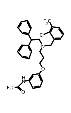 O=C(Nc1cccc(OCCCN(Cc2cccc(C(F)(F)F)c2Cl)CC(c2ccccc2)c2ccccc2)c1)C(F)(F)F